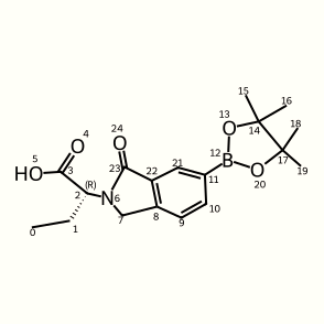 CC[C@H](C(=O)O)N1Cc2ccc(B3OC(C)(C)C(C)(C)O3)cc2C1=O